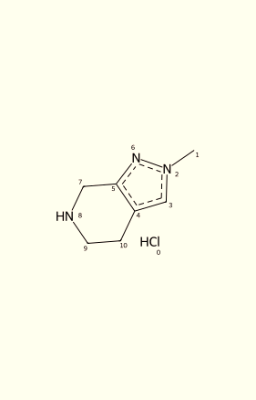 Cl.Cn1cc2c(n1)CNCC2